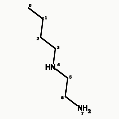 C[CH]CCNCCN